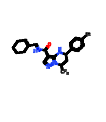 CCc1ccc(C2CC(C(F)(F)F)n3ncc(C(=O)NCC4CCCCC4)c3N2)cc1